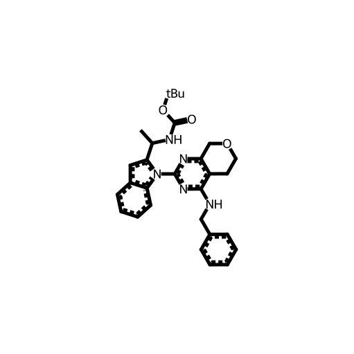 CC(NC(=O)OC(C)(C)C)c1cc2ccccc2n1-c1nc2c(c(NCc3ccccc3)n1)CCOC2